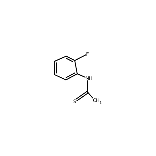 CC(=S)Nc1ccccc1F